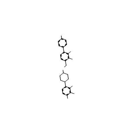 CCCc1ccc(-c2ccc(COC3CCC(c4ccc(CC)c(F)c4F)CC3)c(F)c2F)cc1